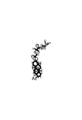 CC(=O)[C@H]1CC[C@H]2[C@@H]3CC[C@H]4C[C@](C)(OC(=O)CSC(C)(C)C(=O)NCCN(C)C)CC[C@]4(C)[C@H]3CC[C@]12C